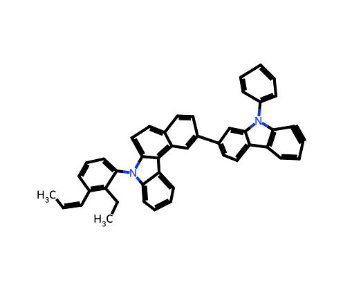 C/C=C\c1cccc(-n2c3ccccc3c3c4cc(-c5ccc6c7ccc#cc7n(-c7ccccc7)c6c5)ccc4ccc32)c1CC